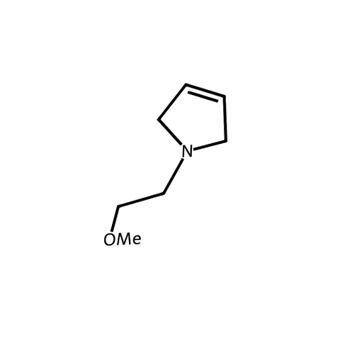 COCCN1CC=CC1